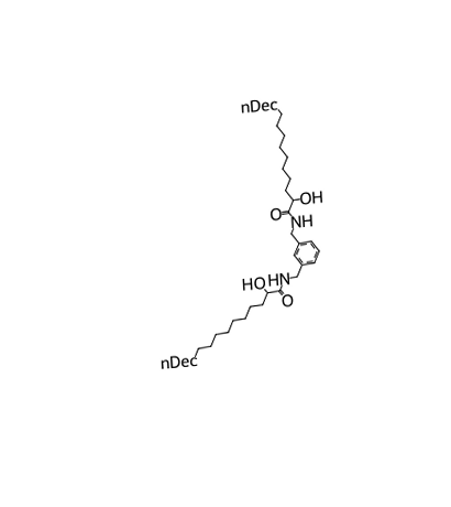 CCCCCCCCCCCCCCCCCCC(O)C(=O)NCc1cccc(CNC(=O)C(O)CCCCCCCCCCCCCCCCCC)c1